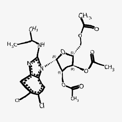 CC(=O)OC[C@H]1O[C@@H](n2c(NC(C)C)nc3cc(Cl)c(Cl)cc32)[C@H](OC(C)=O)[C@@H]1OC(C)=O